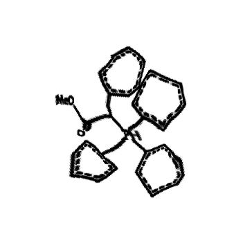 COC(=O)C(c1ccccc1)[PH](c1ccccc1)(c1ccccc1)c1ccccc1